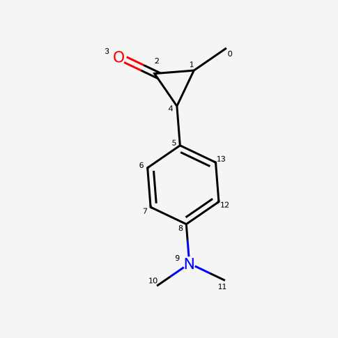 CC1C(=O)C1c1ccc(N(C)C)cc1